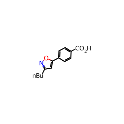 CCCCc1cc(-c2ccc(C(=O)O)cc2)on1